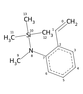 C=Cc1ccccc1N(C)[Si](C)(C)C